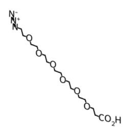 [N-]=[N+]=NCCOCCOCCOCCOCCOCCOCCC(=O)O